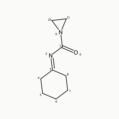 O=C(N=C1CCCCC1)N1CC1